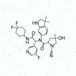 CC1(O)CC(C(=O)N(c2ccc3c(c2)NCC3(C)C)C(C(=O)NC2CCC(F)(F)CC2)c2cncc(F)c2)N(C#N)C1